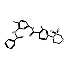 Cc1ccc(NC(=O)c2ccc(N3CCOCS3(=O)=O)cc2C)cc1NC(=O)c1ccccc1